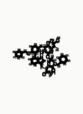 CNC(=O)[C@H](Cc1c[nH]c2c(-c3cc(C[C@H](NC(=O)OC(C)(C)C)C(=O)N[C@@H](C)C(=O)OC)ccc3OCc3ccccc3)cccc12)NC(=O)OCc1ccccc1